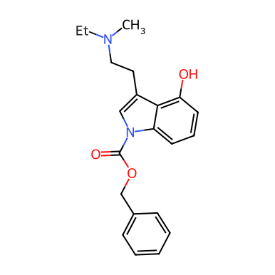 CCN(C)CCc1cn(C(=O)OCc2ccccc2)c2cccc(O)c12